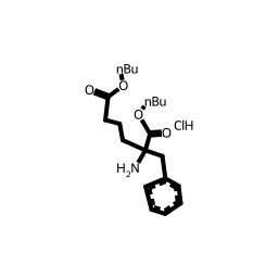 CCCCOC(=O)CCCC(N)(Cc1ccccc1)C(=O)OCCCC.Cl